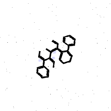 C=C/C(C1=CCCC=C1c1ccccc1)=C(C)/C(=C/C)C(=C\C)/c1ccccc1